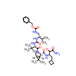 CC(C)[C@H](CNC(=O)OCc1ccccc1)NC(=O)N[C@H](C(=O)N1C[C@H]2[C@@H]([C@H]1C(=O)NC(CC1CCC1)C(=O)C(N)=O)C2(C)C)C(C)(C)C